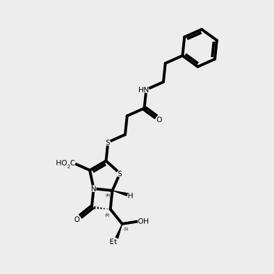 CC[C@H](O)[C@@H]1C(=O)N2C(C(=O)O)=C(SCCC(=O)NCCc3ccccc3)S[C@H]12